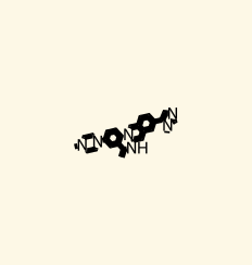 C=C(Nc1cc2cc(-c3cncn3C)ccc2cn1)c1cccc(N2CCN(C)CC2)c1